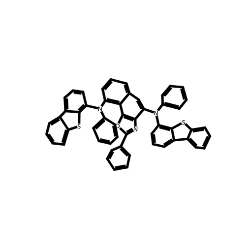 c1ccc(-c2nc3c(N(c4ccccc4)c4cccc5c4sc4ccccc45)cc4cccc(N(c5ccccc5)c5cccc6c5sc5ccccc56)c4c3o2)cc1